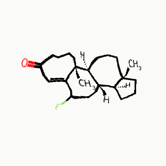 C[C@@]12CCC[C@H]1[C@@H]1CC(F)C3=CC(=O)CC[C@]3(C)[C@H]1CC2